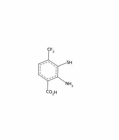 Nc1c(C(=O)O)ccc(C(F)(F)F)c1S